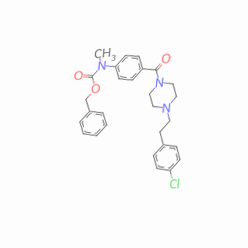 CN(C(=O)OCc1ccccc1)c1ccc(C(=O)N2CCN(CCc3ccc(Cl)cc3)CC2)cc1